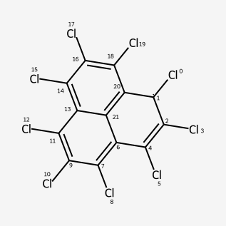 Cl[C]1C(Cl)=C(Cl)c2c(Cl)c(Cl)c(Cl)c3c(Cl)c(Cl)c(Cl)c1c23